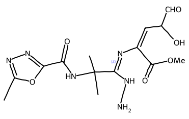 COC(=O)C(=CC(O)C=O)/N=C(\NN)C(C)(C)NC(=O)c1nnc(C)o1